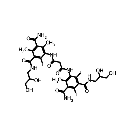 Cc1c(NC(=O)CC(=O)Nc2c(C)c(C(N)=O)c(I)c(C(=O)NCC(O)CO)c2I)c(I)c(C(=O)NCC(O)CO)c(C)c1C(N)=O